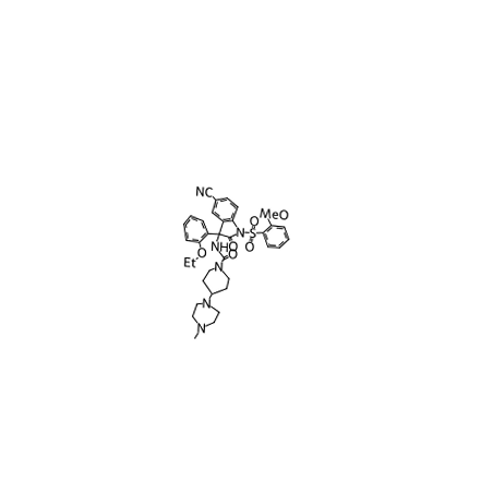 CCOc1ccccc1C1(NC(=O)N2CCC(N3CCN(C)CC3)CC2)C(=O)N(S(=O)(=O)c2ccccc2OC)c2ccc(C#N)cc21